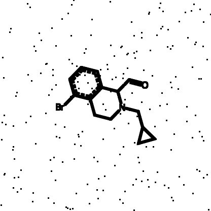 O=CC1c2cccc(Br)c2CCN1CC1CC1